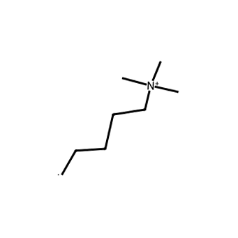 [CH2]CCCC[N+](C)(C)C